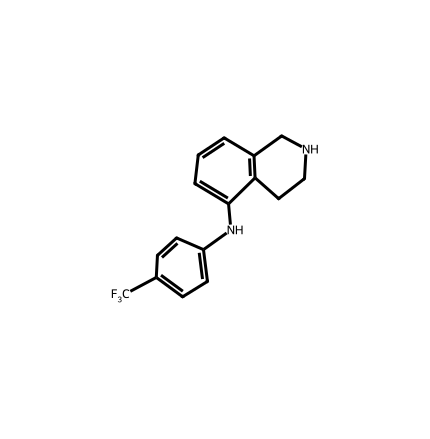 FC(F)(F)c1ccc(Nc2cccc3c2CCNC3)cc1